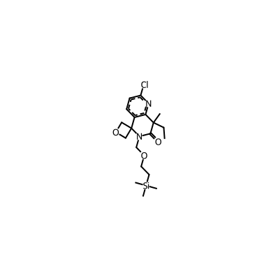 CCC1(C)C(=O)N(COCC[Si](C)(C)C)C2(COC2)c2ccc(Cl)nc21